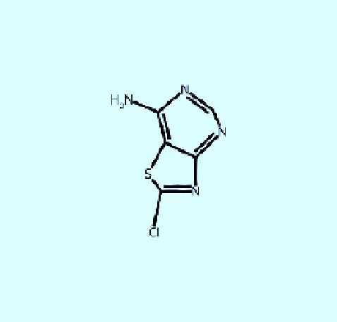 Nc1ncnc2nc(Cl)sc12